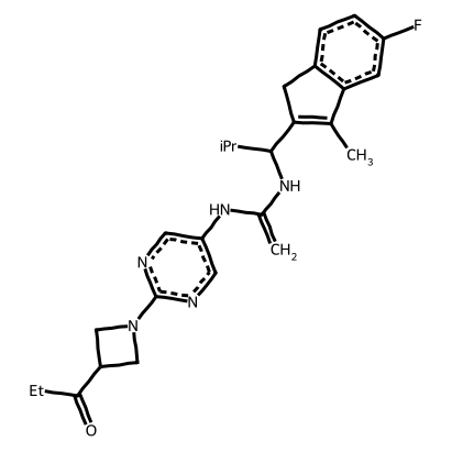 C=C(Nc1cnc(N2CC(C(=O)CC)C2)nc1)NC(C1=C(C)c2cc(F)ccc2C1)C(C)C